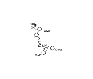 COCc1cc(-c2ccnc(OCC(C)(C)n3cc(S(=O)(=O)N(Cc4ccc(OC)cc4)Cc4ccc(OC)cc4)cn3)c2)c(CC(=O)OC(C)(C)C)c(C(C)C)c1